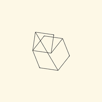 C1C2CC34CC1C3CC24